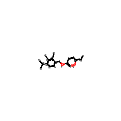 C=C(/C=C\C(O)=C/C)OCc1ccc(C(C)C)c(C)c1C